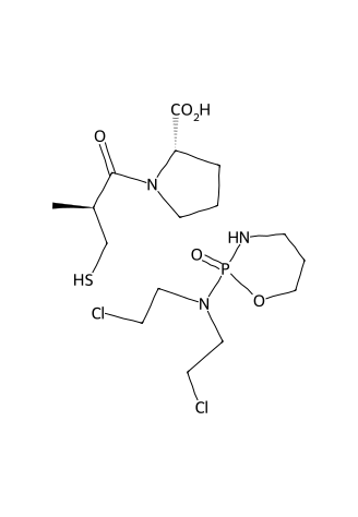 C[C@H](CS)C(=O)N1CCC[C@H]1C(=O)O.O=P1(N(CCCl)CCCl)NCCCO1